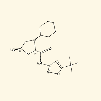 CC(C)(C)c1cc(NC(=O)[C@@H]2C[C@@H](O)CN2C2CCCCC2)no1